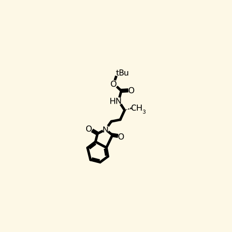 C[C@H](CCN1C(=O)c2ccccc2C1=O)NC(=O)OC(C)(C)C